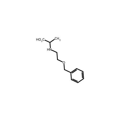 CC(NCCOCc1ccccc1)C(=O)O